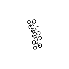 O=C1C(=CC2=Cc3sc4c(c3C23CCCCC3)C2(CCCCC2)c2c-4sc3c2C2(CCCCC2)C(C=C2C(=O)c4ccccc4C2=O)=C3)C(=O)c2ccccc21